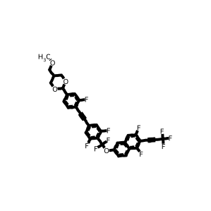 COCC1COC(c2ccc(C#Cc3cc(F)c(C(F)(F)Oc4ccc5c(F)c(C#CC(F)(F)F)c(F)cc5c4)c(F)c3)c(F)c2)OC1